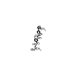 CN(CCNC(=O)c1ccc(F)c(NC(=O)c2cnc3cc(-c4ccnn4C)ccn23)c1)C(C)(C)C